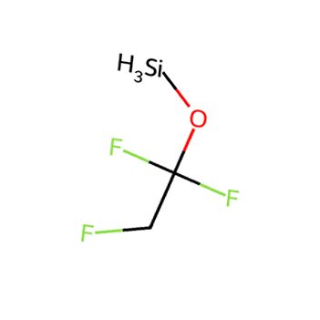 FCC(F)(F)O[SiH3]